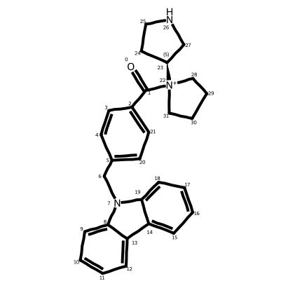 O=C(c1ccc(Cn2c3ccccc3c3ccccc32)cc1)[N+]1([C@H]2CCNC2)CCCC1